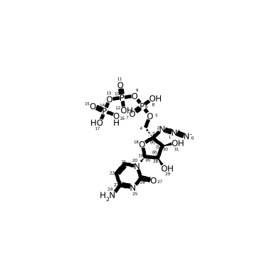 [N-]=[N+]=N[C@]1(COP(=O)(O)OP(=O)(O)OP(=O)(O)O)O[C@@H](n2ccc(N)nc2=O)[C@H](O)[C@@H]1O